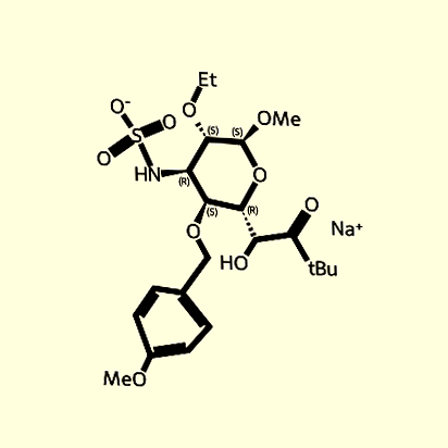 CCO[C@@H]1[C@@H](OC)O[C@H](C(O)C(=O)C(C)(C)C)[C@@H](OCc2ccc(OC)cc2)[C@H]1NS(=O)(=O)[O-].[Na+]